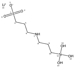 O=S(=O)([O-])CCCNCCC[Si](O)(O)O.[Li+]